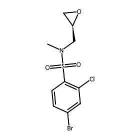 CN(C[C@H]1CO1)S(=O)(=O)c1ccc(Br)cc1Cl